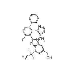 Cn1cnnc1-c1c(-c2ccccc2)ccc(F)c1-c1nc2cc(CO)cc(C(C)(F)F)c2o1